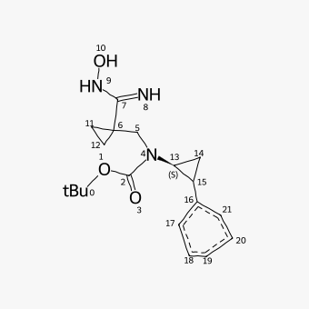 CC(C)(C)OC(=O)N(CC1(C(=N)NO)CC1)[C@H]1CC1c1ccccc1